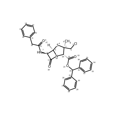 C[C@@]1(CCl)S[C@@H]2[C@H](NC(=O)Cc3ccccc3)C(=O)N2[C@H]1C(=O)OC(c1ccccc1)c1ccccc1